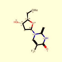 C=C1NC(=O)C(C(F)(F)F)=CN1[C@H]1C[C@H](O)[C@@H](COC)O1